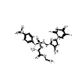 CCOC(=O)[C@H](C)NP(=O)(OC[C@H]1O[C@@H](n2cc(F)c(=O)[nH]c2=O)CC1O)Oc1ccc([N+](=O)[O-])cc1